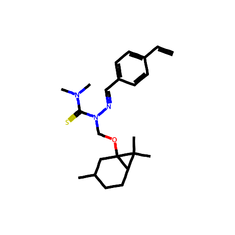 C=Cc1ccc(C=NN(COC23CC(C)CCC2C3(C)C)C(=S)N(C)C)cc1